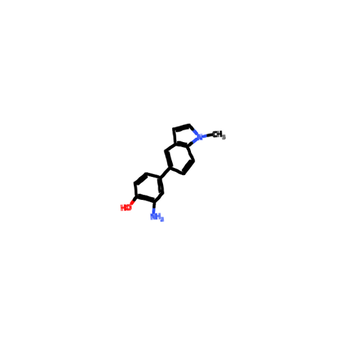 Cn1ccc2cc(-c3ccc(O)c(N)c3)ccc21